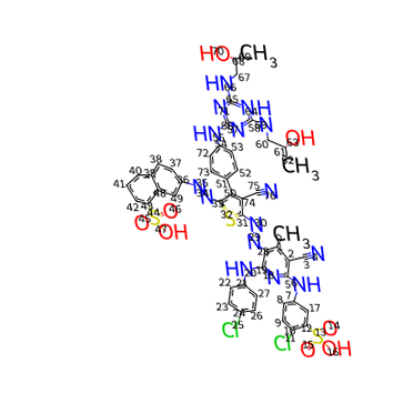 Cc1c(C#N)c(Nc2ccc(Cl)c(S(=O)(=O)O)c2)nc(Nc2ccc(Cl)cc2)c1N=Nc1sc(N=Nc2ccc3cccc(S(=O)(=O)O)c3c2)c(-c2ccc(Nc3nc(NCC(C)O)nc(NCC(C)O)n3)cc2)c1C#N